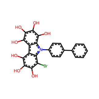 Oc1c(O)c(O)c2c(c1O)c1c(O)c(O)c(O)c(Br)c1n2-c1ccc(-c2ccccc2)cc1